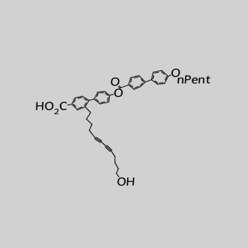 CCCCCOc1ccc(-c2ccc(C(=O)Oc3ccc(-c4ccc(C(=O)O)cc4CCCCC#CC#CCCCCO)cc3)cc2)cc1